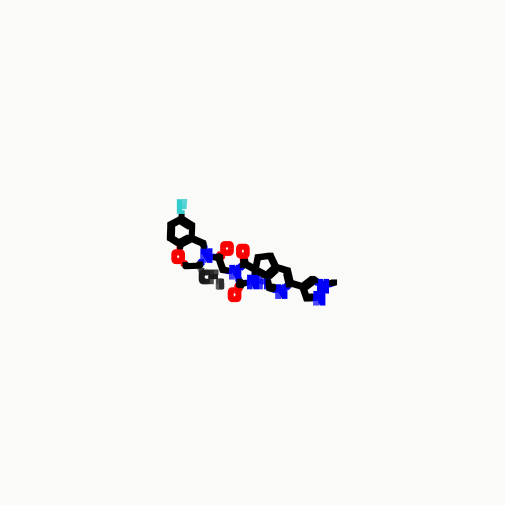 Cn1cc(-c2cc3c(cn2)C2(CC3)NC(=O)N(CC(=O)N3Cc4cc(F)ccc4OC[C@H]3C(F)(F)F)C2=O)cn1